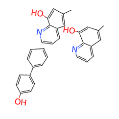 Cc1cc(O)c2ncccc2c1.Cc1cc(O)c2ncccc2c1.Oc1ccc(-c2ccccc2)cc1